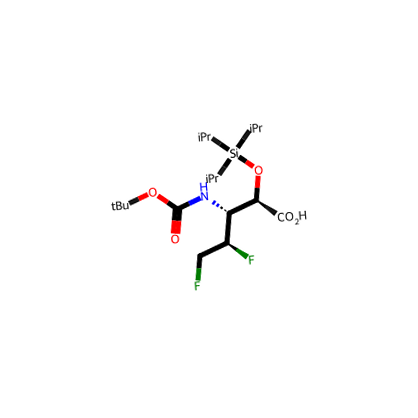 CC(C)[Si](O[C@@H](C(=O)O)[C@@H](NC(=O)OC(C)(C)C)[C@@H](F)CF)(C(C)C)C(C)C